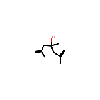 C=C(C)CC(C)(O)CC(=C)C